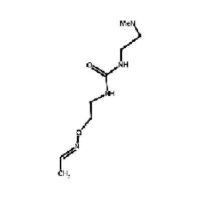 CC=NOCCNC(=O)NCCNC